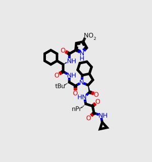 CCC[C@H](NC(=O)[C@@H]1CC2CCCCC2N1C(=O)[C@@H](NC(=O)[C@@H](NC(=O)c1cc([N+](=O)[O-])c[nH]1)C1CCCCC1)C(C)(C)C)C(=O)C(=O)NC1CC1